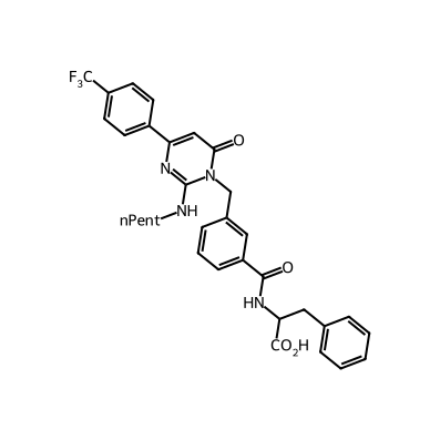 CCCCCNc1nc(-c2ccc(C(F)(F)F)cc2)cc(=O)n1Cc1cccc(C(=O)NC(Cc2ccccc2)C(=O)O)c1